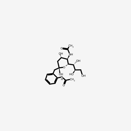 CC(=O)Nc1ccccc1[CH][C@]1(O)C[C@H](O)[C@@H](NC(C)=O)[C@H]([C@H](O)[C@H](O)CO)O1